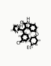 CCN1CCC(Oc2ccc3c(c2)/C(=C(\c2cccc(Cl)c2)c2ncc[nH]2)C(=O)N3)CC1